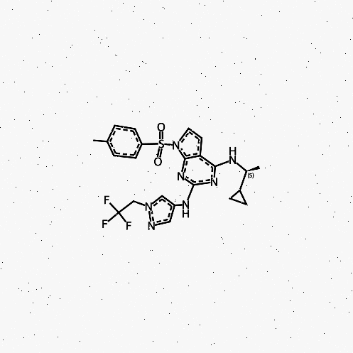 Cc1ccc(S(=O)(=O)n2ccc3c(N[C@@H](C)C4CC4)nc(Nc4cnn(CC(F)(F)F)c4)nc32)cc1